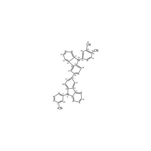 N#Cc1cccc(-n2c3ccccc3c3cc(-c4ccc5c(c4)c4ccccc4n5-c4ccc(C#N)c(C#N)c4)ccc32)c1